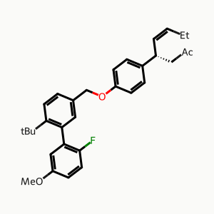 CC/C=C\[C@H](CC(C)=O)c1ccc(OCc2ccc(C(C)(C)C)c(-c3cc(OC)ccc3F)c2)cc1